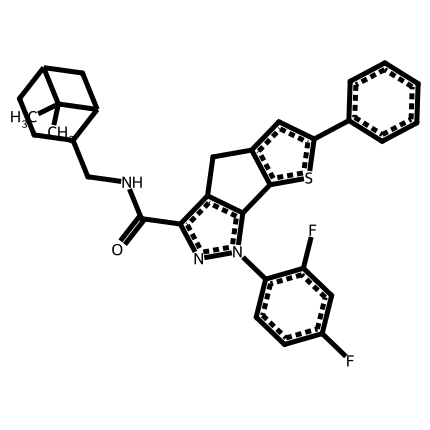 CC1(C)C2CCC(CNC(=O)c3nn(-c4ccc(F)cc4F)c4c3Cc3cc(-c5ccccc5)sc3-4)C1C2